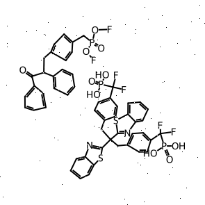 O=C(c1ccccc1)C(Cc1ccc(CP(=O)(OF)OF)cc1)c1ccccc1.O=P(O)(O)C(F)(F)c1ccc(CC(Cc2ccc(C(F)(F)P(=O)(O)O)cc2)(c2nc3ccccc3s2)c2nc3ccccc3s2)cc1